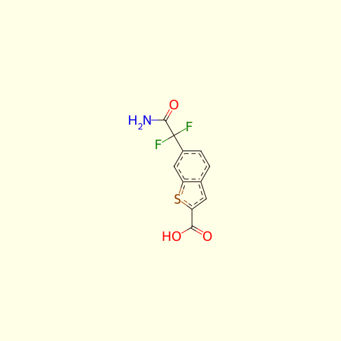 NC(=O)C(F)(F)c1ccc2cc(C(=O)O)sc2c1